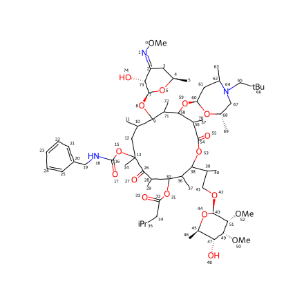 CON=C1C[C@@H](C)O[C@@H](OC2C(C)CC(C)(OC(=O)NCc3ccccc3)C(=O)C(C)C(OC(=O)CC(C)C)C(C)C(C(C)CO[C@@H]3O[C@H](C)[C@@H](O)[C@@H](OC)[C@H]3OC)OC(=O)C(C)C(O[C@H]3CC(C)N(CC(C)(C)C)C[C@H](C)O3)C2C)[C@@H]1O